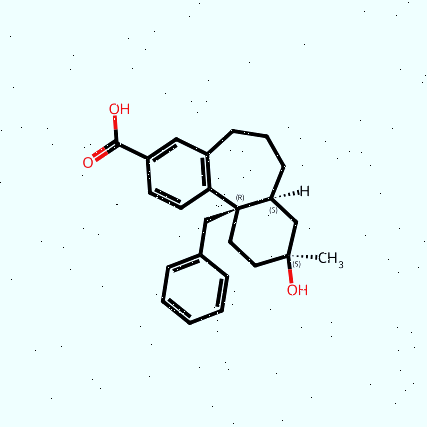 C[C@]1(O)CC[C@]2(Cc3ccccc3)c3ccc(C(=O)O)cc3CCC[C@H]2C1